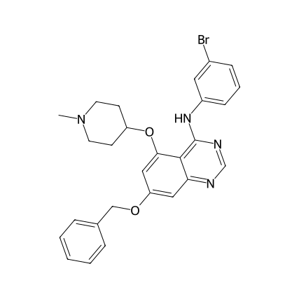 CN1CCC(Oc2cc(OCc3ccccc3)cc3ncnc(Nc4cccc(Br)c4)c23)CC1